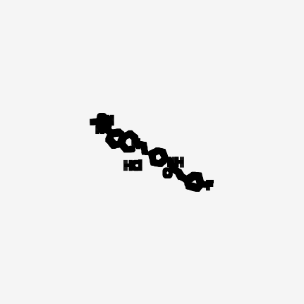 Cc1nc(-c2ccc3c(c2)CCN(CC[C@H]2CC[C@H](NC(=O)/C=C/c4ccc(F)cc4)CC2)CC3)no1.Cl